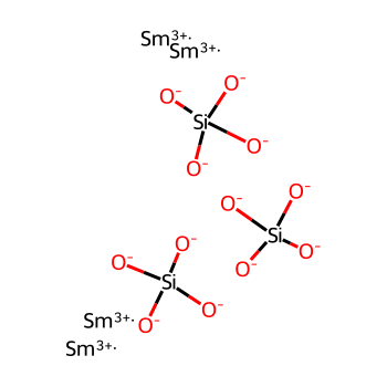 [O-][Si]([O-])([O-])[O-].[O-][Si]([O-])([O-])[O-].[O-][Si]([O-])([O-])[O-].[Sm+3].[Sm+3].[Sm+3].[Sm+3]